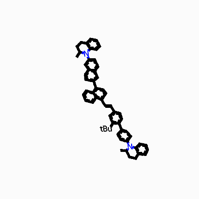 CC1CCc2ccccc2N1c1ccc(-c2ccc(/C=C/c3ccc(-c4ccc5cc(N6c7ccccc7CCC6C)ccc5c4)c4ccccc34)cc2C(C)(C)C)cc1